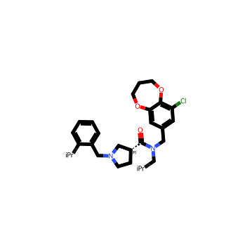 CC(C)CN(Cc1cc(Cl)c2c(c1)OCCCO2)C(=O)[C@@H]1CCN(Cc2ccccc2C(C)C)C1